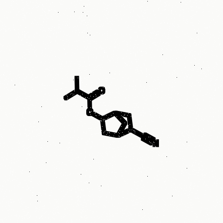 CC(C)C(=O)OC1CC2CC1CC2C#N